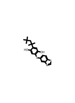 CC(C)(C)CC(C)(C)c1cc(O)c(Sc2ccc3scnc3c2)cc1O